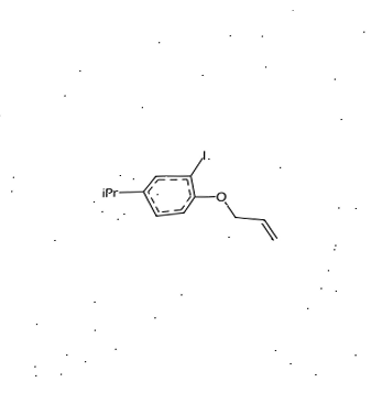 C=CCOc1ccc(C(C)C)cc1I